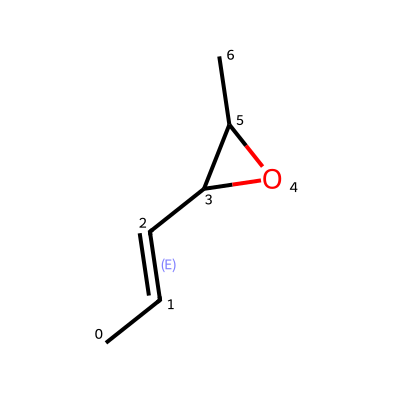 C/C=C/C1OC1C